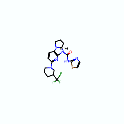 O=C(Nc1nccs1)N1c2nc(N3CCCC(C(F)(F)F)C3)ccc2N2CCC[C@H]21